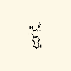 N#CNC(=N)Nc1ccc2[nH]ccc2c1